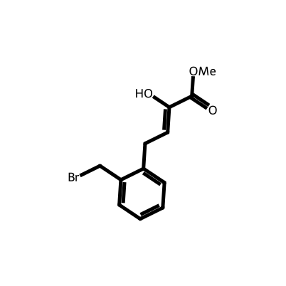 COC(=O)C(O)=CCc1ccccc1CBr